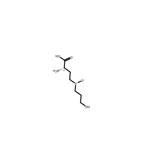 N[C@@H](CC[S+]([O-])CCCO)C(=O)O